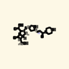 C[C@@H](O)[C@H]1C(=O)N2C(C(=O)O)=C(S[C@@H]3CN[C@H](/C=C/C(=O)N4CCNCC4)C3)[C@H](C)[C@H]12